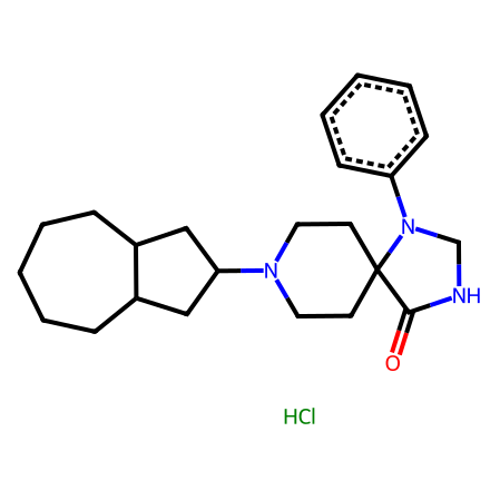 Cl.O=C1NCN(c2ccccc2)C12CCN(C1CC3CCCCCC3C1)CC2